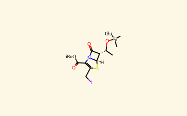 CC(C)COC(=O)C1=C(CI)S[C@@H]2[C@@H](C(C)O[Si](C)(C)C(C)(C)C)C(=O)N12